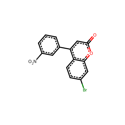 O=c1cc(-c2cccc([N+](=O)[O-])c2)c2ccc(Br)cc2o1